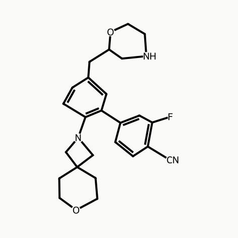 N#Cc1ccc(-c2cc(CC3CNCCO3)ccc2N2CC3(CCOCC3)C2)cc1F